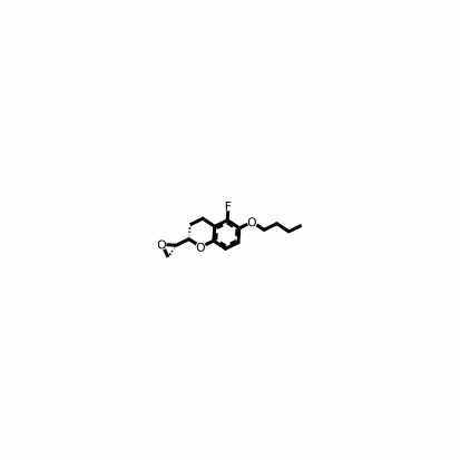 CCCCOc1ccc2c(c1F)CC[C@@H]([C@@H]1CO1)O2